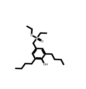 CCCCc1cc(CP(=O)(CC)OCC)cc(CCCC)c1O